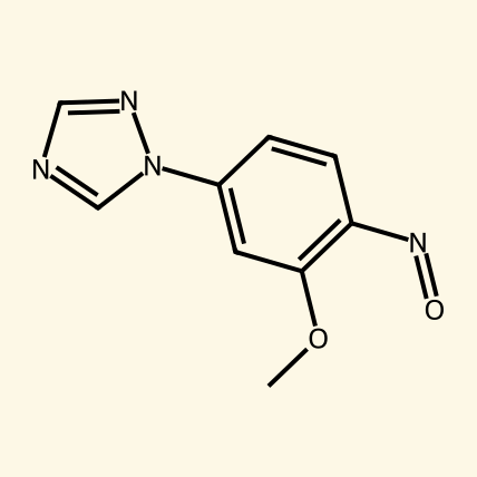 COc1cc(-n2cncn2)ccc1N=O